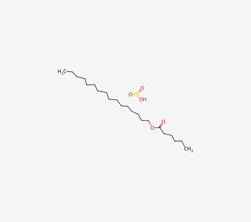 CCCCCCCCCCCCCCCCOC(=O)CCCCC.O=[SH](=O)O